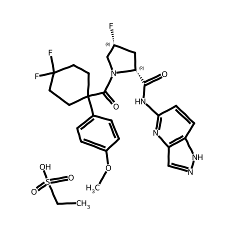 CCS(=O)(=O)O.COc1ccc(C2(C(=O)N3C[C@H](F)C[C@@H]3C(=O)Nc3ccc4[nH]ncc4n3)CCC(F)(F)CC2)cc1